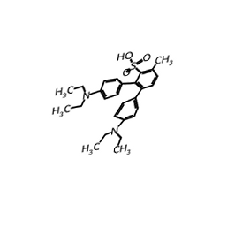 CCN(CC)c1ccc(-c2ccc(C)c(S(=O)(=O)O)c2-c2ccc(N(CC)CC)cc2)cc1